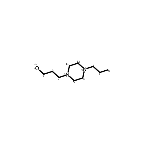 CCCN1CCN(CCC[O])CC1